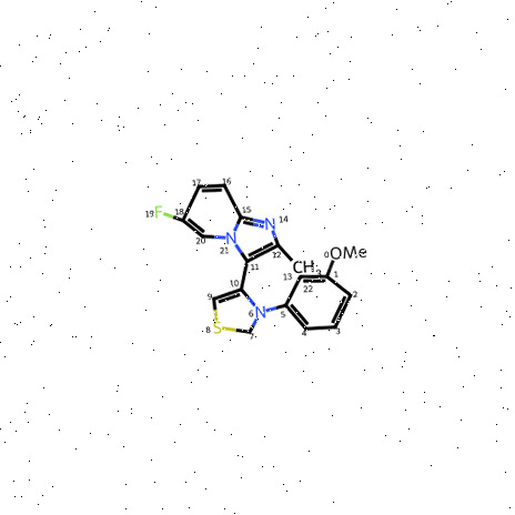 COc1cccc(N2CSC=C2c2c(C)nc3ccc(F)cn23)c1